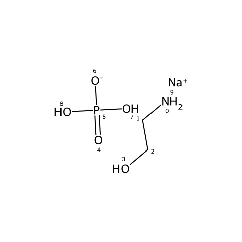 NCCO.O=P([O-])(O)O.[Na+]